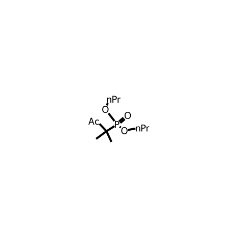 CCCOP(=O)(OCCC)C(C)(C)C(C)=O